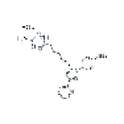 CC(C)(C)c1ccc(-n2nc(-c3ccccn3)cc2CCCCCC(=O)N[C@@H](CO)C(N)=O)cc1